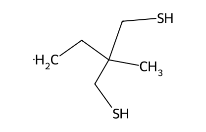 [CH2]CC(C)(CS)CS